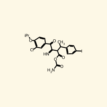 CC(C)Oc1ccc(C(=O)C(=N)C(C(=O)OC(N)=O)C(C)c2ccc(I)cc2)cc1Cl